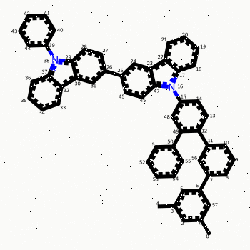 Cc1cc(C)cc(-c2cccc(-c3ccc(-n4c5ccccc5c5cc(-c6ccc7c(c6)c6ccccc6n7-c6ccccc6)ccc54)cc3-c3ccccc3)c2)c1